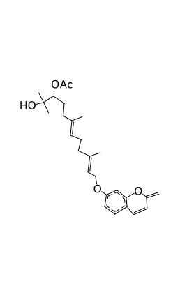 C=C1C=Cc2ccc(OC/C=C(\C)CC/C=C(\C)CC[C@@H](OC(C)=O)C(C)(C)O)cc2O1